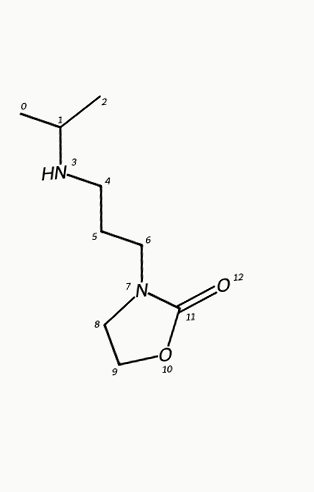 CC(C)NCCCN1CCOC1=O